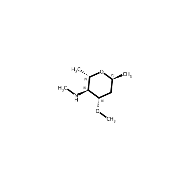 CN[C@H]1[C@H](C)O[C@@H](C)C[C@@H]1OC